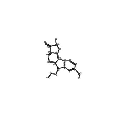 CCCn1c2cc(OC)ccc2c2c3c(ccc21)C(=O)N(C)C3